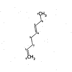 C=CCCC=CCC